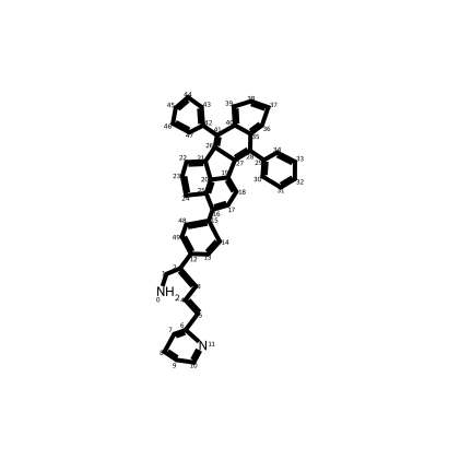 NC/C(=C\C=C\c1ccccn1)c1ccc(-c2ccc3c4c(cccc24)-c2c-3c(-c3ccccc3)c3ccccc3c2-c2ccccc2)cc1